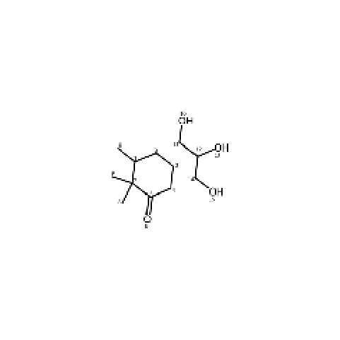 CC1CCCC(=O)C1(C)C.OCC(O)CO